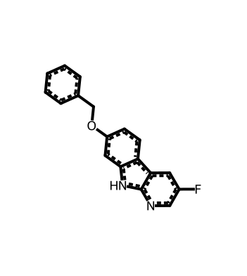 Fc1cnc2[nH]c3cc(OCc4ccccc4)ccc3c2c1